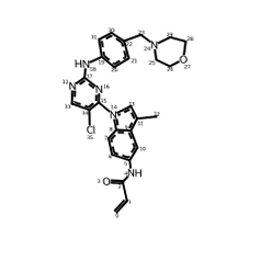 C=CC(=O)Nc1ccc2c(c1)c(C)cn2-c1nc(Nc2ccc(CN3CCOCC3)cc2)ncc1Cl